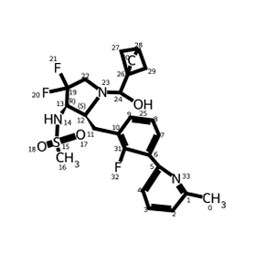 Cc1cccc(-c2cccc(C[C@H]3[C@@H](NS(C)(=O)=O)C(F)(F)CN3C(O)C34CC(C3)C4)c2F)n1